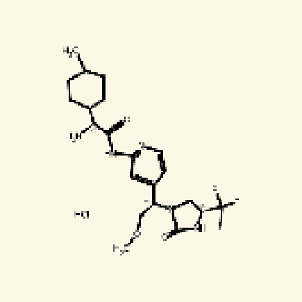 COC[C@@H](c1ccnc(NC(=O)[C@@H](N)C2CCC(C)CC2)c1)N1C[C@@H](C(F)(F)F)NC1=O.Cl